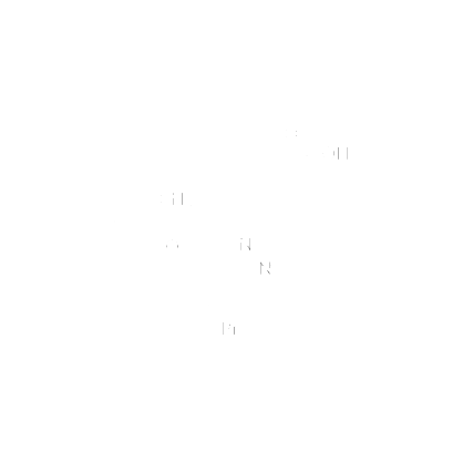 CC1(COc2ccc(Br)cc2Cn2ncc3c2C=CC(C(=O)O)=CC3)CC1